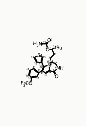 CC(C)(C)C(CC[C@H]1CNC(=O)c2cc(-c3cccc(OC(F)(F)F)c3)c(-c3ccsc3)n21)OC(N)=O